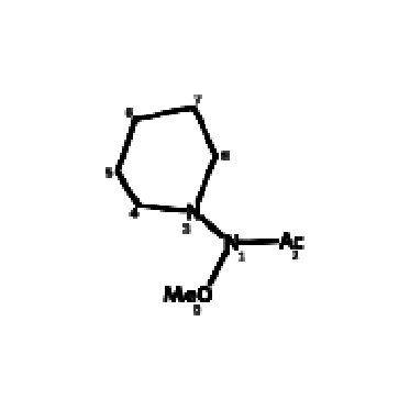 CON(C(C)=O)N1CCCCC1